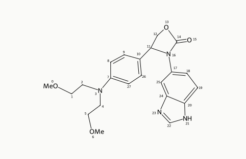 COCCN(CCOC)c1ccc(C2COC(=O)N2c2ccc3[nH]cnc3c2)cc1